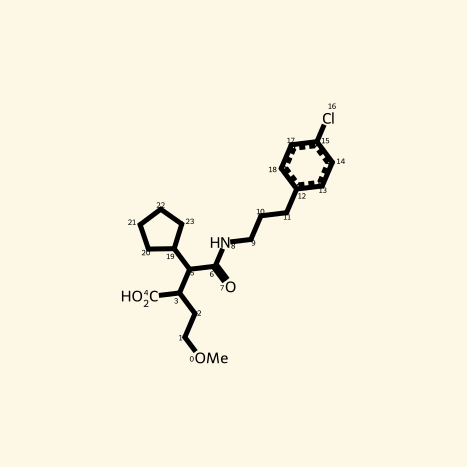 COCCC(C(=O)O)C(C(=O)NCCCc1ccc(Cl)cc1)C1CCCC1